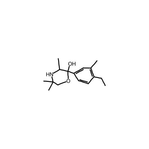 CCc1ccc(C2(O)OCC(C)(C)NC2C)cc1C